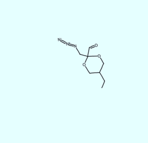 CCC1COC(C=O)(CN=[N+]=[N-])OC1